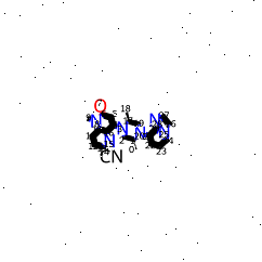 C[C@@H]1CN(c2cc(=O)n(C)c3ccc(C#N)nc23)[C@@H](C)CN1c1cccn2ccnc12